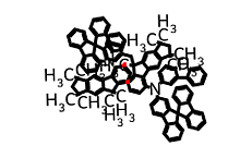 CC1(C)CC(C)(C)c2cc3c(cc21)-c1c(N(c2ccccc2)c2cccc4c2C2(c5ccccc5-c5cc(CC6(C)c7cc8c(cc7-c7c(N(c9ccc%10c(c9)C9(c%11ccccc%11-c%11ccccc%119)c9ccccc9-%10)c9ccc%10oc%11ccccc%11c%10c9)cccc76)C(C)(C)CC8(C)C)ccc52)c2ccccc2-4)cccc1C3(C)C